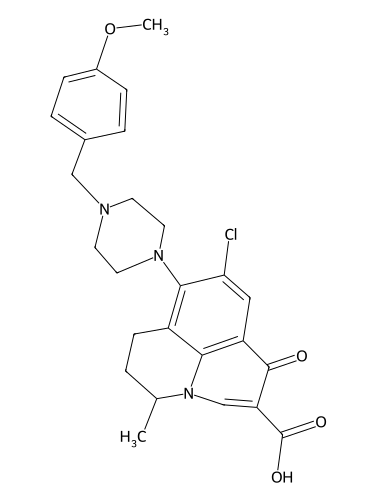 COc1ccc(CN2CCN(c3c(Cl)cc4c(=O)c(C(=O)O)cn5c4c3CCC5C)CC2)cc1